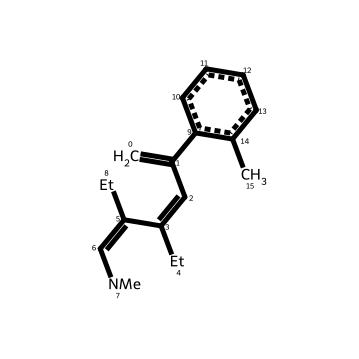 C=C(/C=C(CC)\C(=C/NC)CC)c1ccccc1C